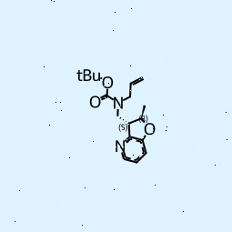 C=CCN(C[C@H]1c2ncccc2O[C@@H]1C)C(=O)OC(C)(C)C